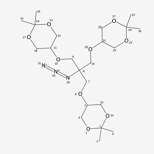 CC1(C)OCC(OCC(COC2COC(C)(C)OC2)(COC2COC(C)(C)OC2)N=[N+]=[N-])CO1